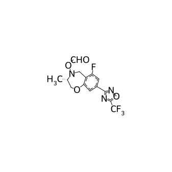 C[C@H]1COc2cc(-c3noc(C(F)(F)F)n3)cc(F)c2CN1OC=O